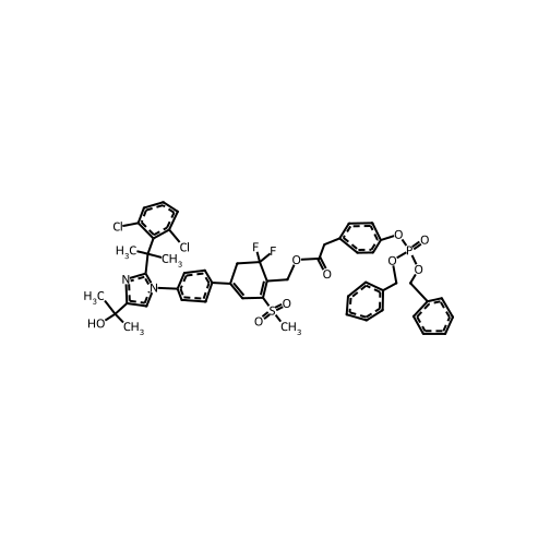 CC(C)(O)c1cn(-c2ccc(C3=CC(S(C)(=O)=O)=C(COC(=O)Cc4ccc(OP(=O)(OCc5ccccc5)OCc5ccccc5)cc4)C(F)(F)C3)cc2)c(C(C)(C)c2c(Cl)cccc2Cl)n1